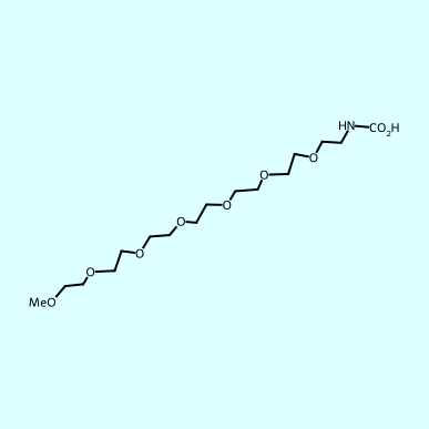 COCCOCCOCCOCCOCCOCCOCCNC(=O)O